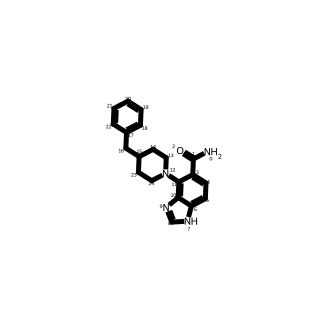 NC(=O)c1ccc2[nH]cnc2c1N1CCC(Cc2ccccc2)CC1